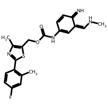 CN/C=C1/C=C(NC(=O)OCc2sc(-c3ccc(F)cc3C)nc2C)C=CC1=N